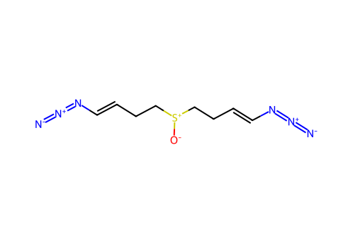 [N-]=[N+]=NC=CCC[S+]([O-])CCC=CN=[N+]=[N-]